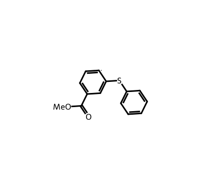 COC(=O)c1cc[c]c(Sc2ccccc2)c1